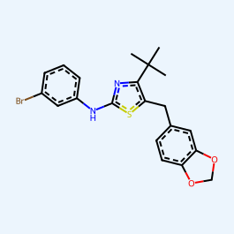 CC(C)(C)c1nc(Nc2cccc(Br)c2)sc1Cc1ccc2c(c1)OCO2